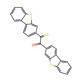 O=C(C(=S)c1ccc2c(c1)sc1ccccc12)c1ccc2c(c1)sc1ccccc12